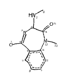 CNC1N=C(Cl)c2ccccc2N(C)C1=O